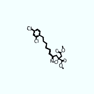 COC(=O)CC1(C(=O)OC)CC(CCCCCCc2ccc(Cl)cc2Cl)=NO1